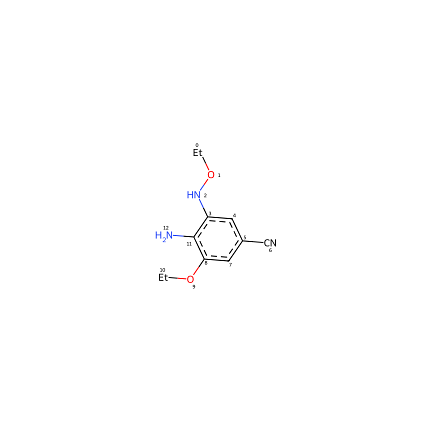 CCONc1cc(C#N)cc(OCC)c1N